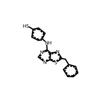 Sc1ccc(Nc2ncnc3sc(Cc4ccccc4)nc23)cc1